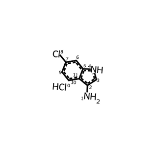 Cl.Nc1c[nH]c2cc(Cl)ccc12